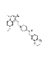 COc1ccc2c(C)cc(=O)n(CCN3CCC(NCc4ccc5c(c4)OCCO5)CC3)c2c1